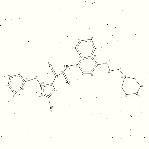 CC(C)(C)c1cc(C(=O)C(=O)Nc2ccc(OCCN3CCOCC3)c3ccccc23)n(Cc2ccccc2)n1